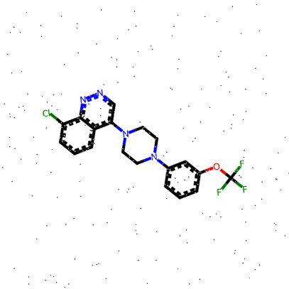 FC(F)(F)Oc1cccc(N2CCN(c3cnnc4c(Cl)cccc34)CC2)c1